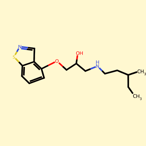 CCC(C)CCNCC(O)COc1cccc2sncc12